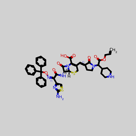 C=CCOC(=O)C(C1CCNCC1)N1CC/C(=C\C2=C(C(=O)O)N3C(=O)[C@@H](NC(=O)/C(=N\OC(c4ccccc4)(c4ccccc4)c4ccccc4)c4csc(N)n4)[C@H]3SC2)C1=O